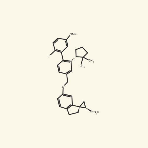 COc1ccc(F)c(-c2ccc(COc3ccc4c(c3)[C@]3(CC4)C[C@H]3C(=O)O)cc2[C@@H]2CCCC2(C)C)c1